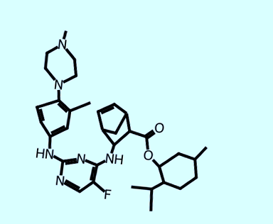 Cc1cc(Nc2ncc(F)c(NC3C4C=CC(C4)C3C(=O)OC3CC(C)CCC3C(C)C)n2)ccc1N1CCN(C)CC1